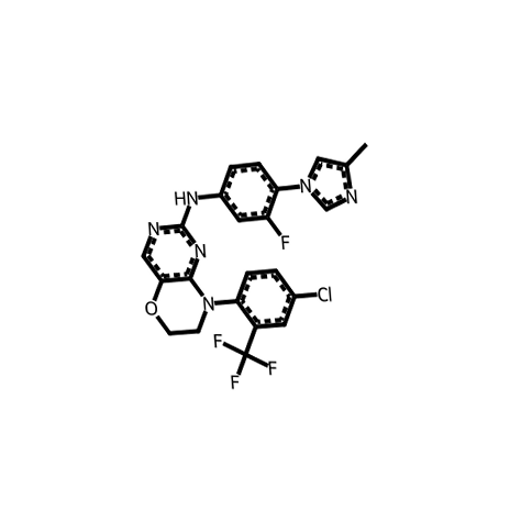 Cc1cn(-c2ccc(Nc3ncc4c(n3)N(c3ccc(Cl)cc3C(F)(F)F)CCO4)cc2F)cn1